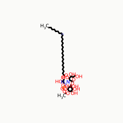 CCCCCCCC/C=C\CCCCCCCCCCCCCCCCCCCC(=O)OC[C@@H](O)COP(=O)(O)OC1CC(O)(CO[C@H]2OC(CO)[C@@H](O)C(O)C2N)C(O)[C@@H](O)C1OC(C)=O